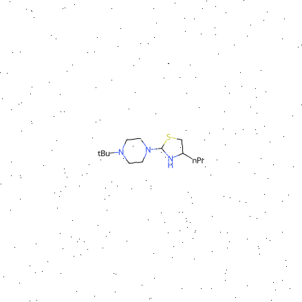 CCCC1CSC(N2CCN(C(C)(C)C)CC2)N1